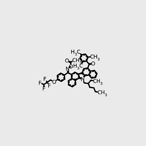 CCCCC(CC)Cn1c2c3ccccc3c(C(=O)c3c(C)cc(C)cc3C)cc2c2cc(/C(=N\OC(C)=O)c3ccc(OCC(F)(F)C(F)F)cc3)c3ccccc3c21